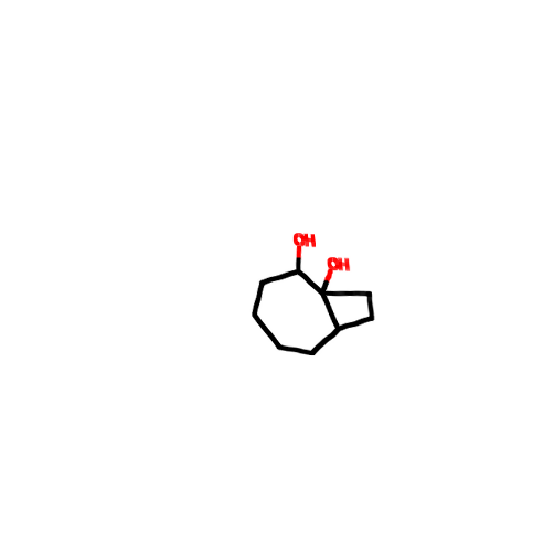 OC1CCCCC2CCC12O